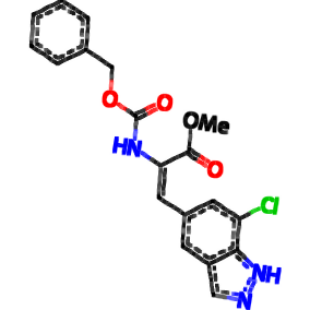 COC(=O)/C(=C\c1cc(Cl)c2[nH]ncc2c1)NC(=O)OCc1ccccc1